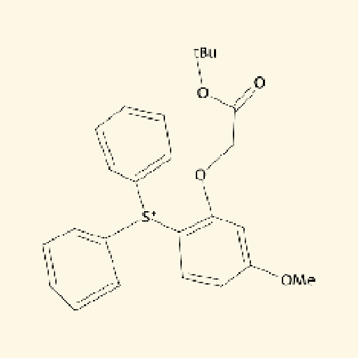 COc1ccc([S+](c2ccccc2)c2ccccc2)c(OCC(=O)OC(C)(C)C)c1